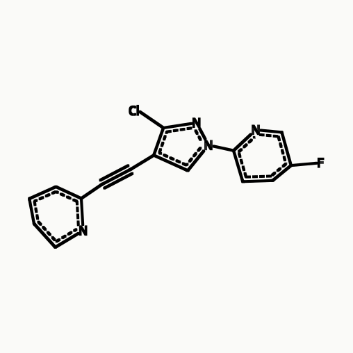 Fc1ccc(-n2cc(C#Cc3ccccn3)c(Cl)n2)nc1